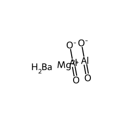 [BaH2].[Mg+2].[O]=[Al][O-].[O]=[Al][O-]